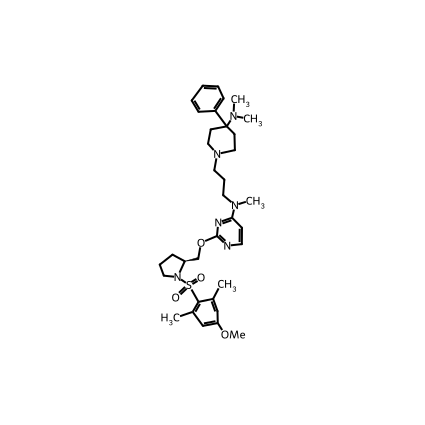 COc1cc(C)c(S(=O)(=O)N2CCC[C@H]2COc2nccc(N(C)CCCN3CCC(c4ccccc4)(N(C)C)CC3)n2)c(C)c1